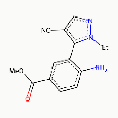 CCn1ncc(C#N)c1-c1cc(C(=O)OC)ccc1N